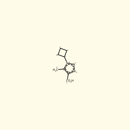 Cc1c(C(=O)O)nnn1C1CCC1